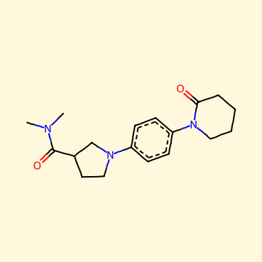 CN(C)C(=O)C1CCN(c2ccc(N3CCCCC3=O)cc2)C1